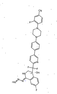 N#Cc1ccc(N2CCN(c3ccc(-c4ccc(C(F)(F)[C@]5(O)CN/C(=N\N=N)c6cc(F)ccc65)nc4)cc3)CC2)c(F)c1